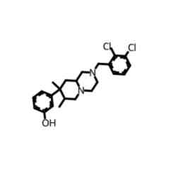 CC1CN2CCN(Cc3cccc(Cl)c3Cl)CC2CC1(C)c1cccc(O)c1